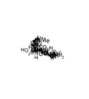 CNC(=O)CC1CN1C(=O)[C@H](CC=O)NC(=O)[C@H](COC(=O)O)NC(=O)C[C@H](NC(=O)c1ccc(NCc2cnc3nc(N)[nH]c(=O)c3n2)cc1)C(=O)O